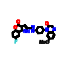 COc1ccc2ncc(=O)n(C3CCC(NCc4cc5c(=O)oc6ccc(F)cc6c5[nH]4)CC3)c2c1